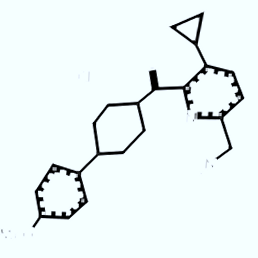 COc1ccc(C2CCC(C(=O)c3nc(CN)ccc3C3CC3)CC2)cc1.Cl